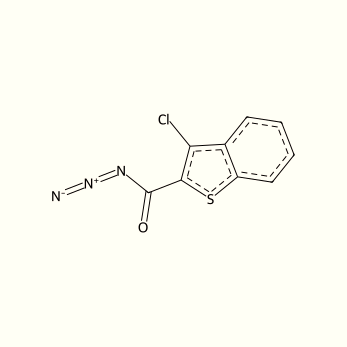 [N-]=[N+]=NC(=O)c1sc2ccccc2c1Cl